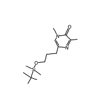 Cc1nc(CCCO[Si](C)(C)C(C)(C)C)cn(C)c1=O